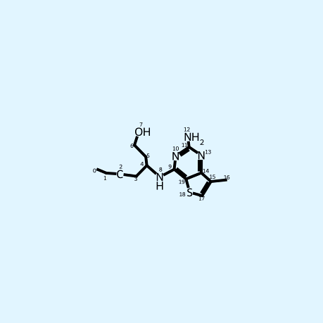 CCCCC(CCO)Nc1nc(N)nc2c(C)csc12